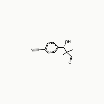 CC(C)(C=O)[C@@H](O)c1ccc(C#N)cc1